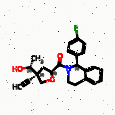 C#C[C@@]1([C@@H](C)O)CO[C@H](C(=O)N2CCc3ccccc3[C@@H]2c2ccc(F)cc2)C1